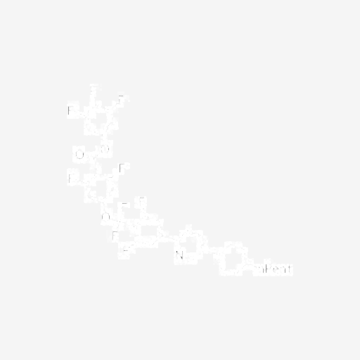 CCCCCC1CCC(c2ccc(-c3cc(F)c(C(F)(F)Oc4cc(F)c(C(=O)Oc5cc(F)c(F)c(F)c5)c(F)c4)c(F)c3)nc2)CC1